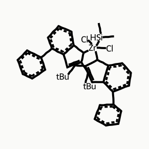 C[SiH](C)[Zr]([Cl])([Cl])([CH]1C(CC(C)(C)C)=Cc2c(-c3ccccc3)cccc21)[CH]1C(CC(C)(C)C)=Cc2c(-c3ccccc3)cccc21